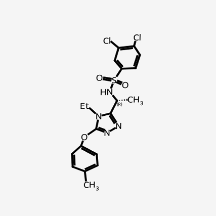 CCn1c(Oc2ccc(C)cc2)nnc1[C@@H](C)NS(=O)(=O)c1ccc(Cl)c(Cl)c1